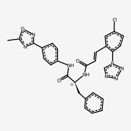 Cc1nc(-c2ccc(NC(=O)[C@H](Cc3ccccc3)NC(=O)C=Cc3cc(Cl)ccc3-n3cnnn3)cc2)no1